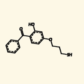 O=C(c1ccccc1)c1ccc(OCCCS)cc1O